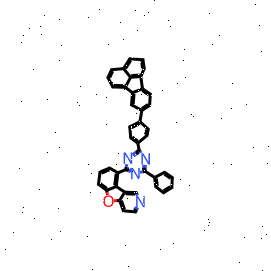 c1ccc(-c2nc(-c3ccc(-c4ccc5c(c4)-c4cccc6cccc-5c46)cc3)nc(-c3cccc4oc5ccncc5c34)n2)cc1